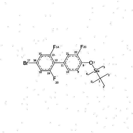 CC(C)(C)[Si](C)(C)Oc1ccc(-c2c(F)cc(Br)cc2F)cc1F